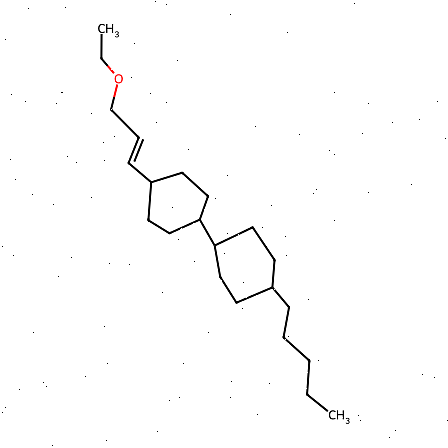 CCCCCC1CCC(C2CCC(C=CCOCC)CC2)CC1